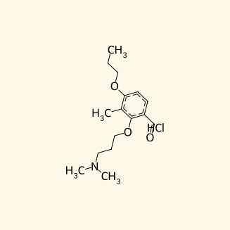 CCCOc1ccc(C=O)c(OCCCN(C)C)c1C.Cl